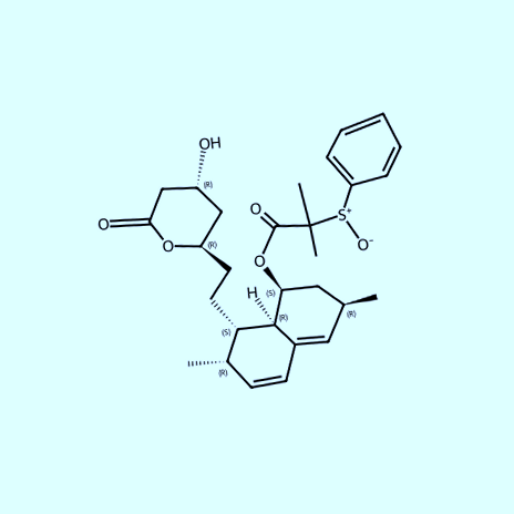 C[C@H]1C=C2C=C[C@H](C)[C@H](CC[C@@H]3C[C@@H](O)CC(=O)O3)[C@H]2[C@@H](OC(=O)C(C)(C)[S+]([O-])c2ccccc2)C1